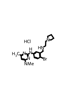 CNc1cc(C)nc(Nc2ccc(Br)c(CNCCN3CCCC3)c2)n1.Cl